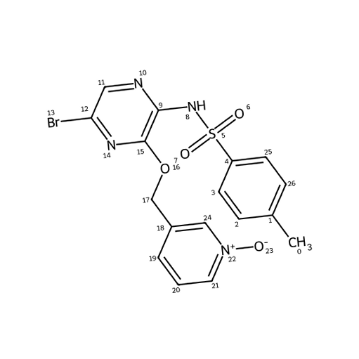 Cc1ccc(S(=O)(=O)Nc2ncc(Br)nc2OCc2ccc[n+]([O-])c2)cc1